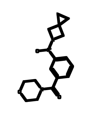 O=C(c1cccc([S+]([O-])N2CC3(CC3)C2)c1)N1CCOCC1